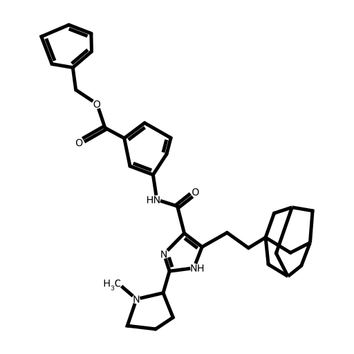 CN1CCCC1c1nc(C(=O)Nc2cccc(C(=O)OCc3ccccc3)c2)c(CCC23CC4CC(CC(C4)C2)C3)[nH]1